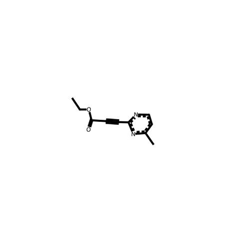 CCOC(=O)C#Cc1nccc(C)n1